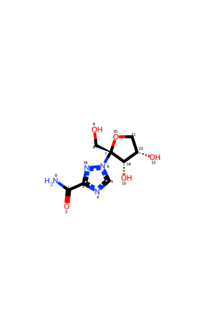 NC(=O)c1ncn([C@]2(CO)OC[C@H](O)[C@@H]2O)n1